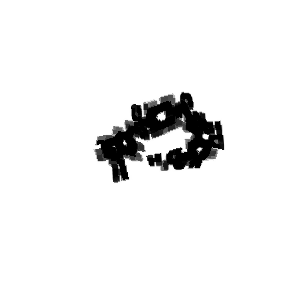 COc1cc(-c2cc(C(=O)N3CCC(C(=O)NCc4ccc5[nH]ccc5c4)CC3)n[nH]2)c(Cl)cn1